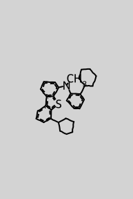 CN(c1ccccc1C1CCCCC1)c1cccc2c1sc1c(C3CCCCC3)cccc12